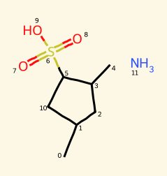 CC1CC(C)C(S(=O)(=O)O)C1.N